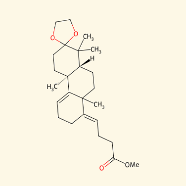 COC(=O)CCC=C1CCC=C2C1(C)CC[C@H]1C(C)(C)C3(CC[C@]21C)OCCO3